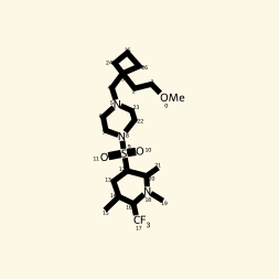 COCCC1(CN2CCN(S(=O)(=O)C3CC(C)C(C(F)(F)F)N(C)C3C)CC2)CCC1